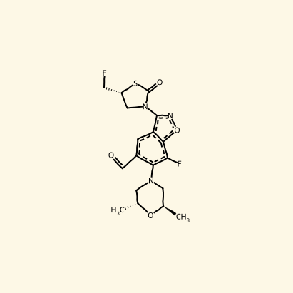 C[C@@H]1CN(c2c(C=O)cc3c(N4C[C@H](CF)SC4=O)noc3c2F)C[C@@H](C)O1